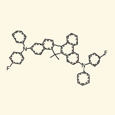 CC1(C)c2c(ccc3cc(N(c4ccccc4)c4ccc(F)cc4)ccc23)-c2c1c1ccc(N(c3ccccc3)c3ccc(F)cc3)cc1c1ccccc21